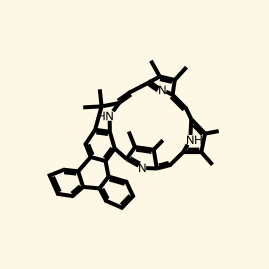 CC1=C(C)c2cc3[nH]c(cc4nc(c5c6[nH]c(cc1n2)C(C)(C)c6cc1c2ccccc2c2ccccc2c15)C(C)=C4C)c(C)c3C